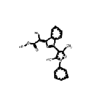 CCCOC(=O)/C(C#N)=C1\N=C(c2c(C)nn(-c3ccccc3)c2O)c2ccccc21